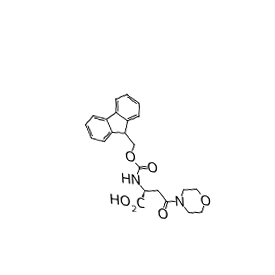 O=C(N[C@@H](CC(=O)N1CCOCC1)C(=O)O)OCC1c2ccccc2-c2ccccc21